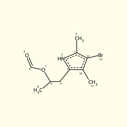 Cc1[nH]c(CC(C)OC=O)c(C)c1Br